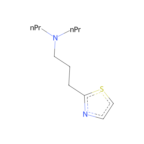 CCCN(CCC)CCCc1nccs1